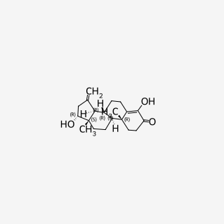 C=C1C[C@@H](O)[C@@]2(C)CC[C@H]3[C@@H](CCC4=C(O)C(=O)CC[C@@]43C)[C@H]12